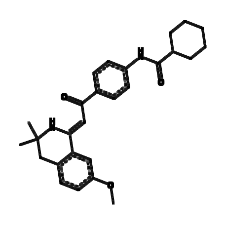 COc1ccc2c(c1)/C(=C/C(=O)c1ccc(NC(=O)C3CCCCC3)cc1)NC(C)(C)C2